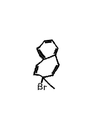 CC1(Br)C=Cc2ccccc2C=C1